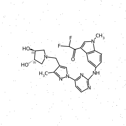 Cc1nn(-c2ccnc(Nc3ccc4c(c3)c(C(=O)C(F)F)cn4C)n2)cc1CN1C[C@H](O)[C@@H](O)C1